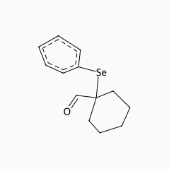 O=CC1([Se]c2ccccc2)CCCCC1